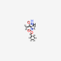 O=C1N[C@H]2CCN(C(=O)OCc3ccccc3)C2=C1C1CC1